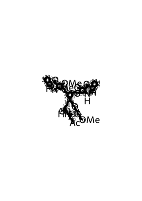 COCCOCCOCCN(CCCC(=O)ONC(=O)CCC(C)=O)c1cc(COc2cc3c(cc2OC)C(=O)N2c4ccccc4C[C@@H]2C=N3)cc(COc2cc3c(cc2OC)C(=O)N2c4ccccc4C[C@H]2CN3)c1